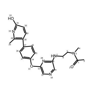 CC(=O)N(C)CCNc1cncc(Oc2ccc(-c3ccc(O)nc3C)cc2)n1